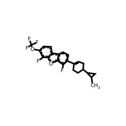 CC1CC1C1CC=C(c2ccc3c(oc4c(F)c(OC(F)(F)F)ccc43)c2F)CC1